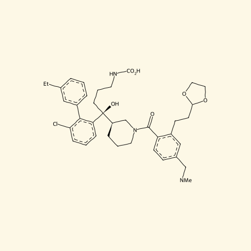 CCc1cccc(-c2c(Cl)cccc2[C@](O)(CCCNC(=O)O)[C@@H]2CCCN(C(=O)c3ccc(CNC)cc3CCC3OCCO3)C2)c1